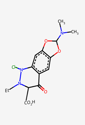 CCN1C(C(=O)O)C(=O)c2cc3c(cc2N1Cl)OC(N(C)C)O3